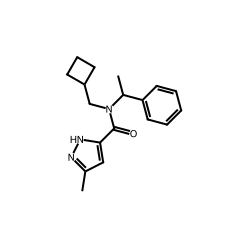 Cc1cc(C(=O)N(CC2CCC2)C(C)c2ccccc2)[nH]n1